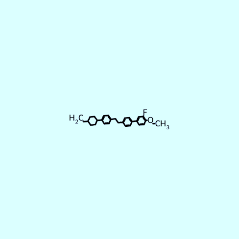 C=CC1CCC(c2ccc(CCc3ccc(-c4ccc(OCC)c(F)c4)cc3)cc2)CC1